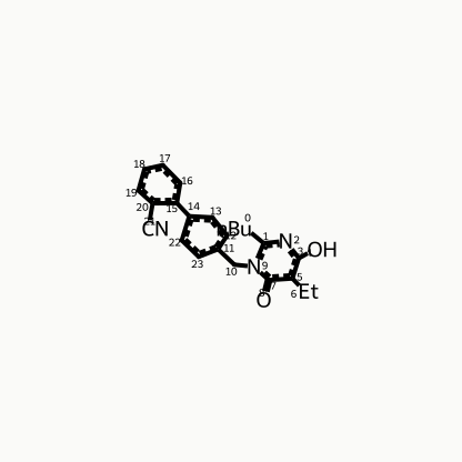 CCCCc1nc(O)c(CC)c(=O)n1Cc1ccc(-c2ccccc2C#N)cc1